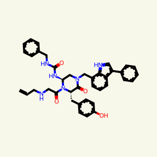 C=CCNCC(=O)N1[C@@H](NC(=O)NCc2ccccc2)CN(Cc2cccc3c(-c4ccccc4)c[nH]c23)C(=O)[C@@H]1Cc1ccc(O)cc1